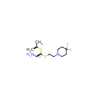 C=C(C)S/C(=C\N)SCCN1CCC(F)(F)CC1